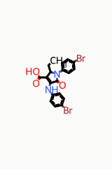 CCC1C(C(=O)O)=C(Nc2ccc(Br)cc2)C(=O)N1c1ccc(Br)cc1